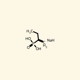 C=C(CC)P(=O)(O)O.[NaH]